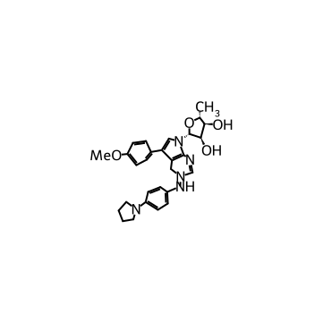 COc1ccc(-c2cn([C@@H]3O[C@H](C)[C@@H](O)[C@H]3O)c3c2CN(Nc2ccc(N4CCCC4)cc2)C=N3)cc1